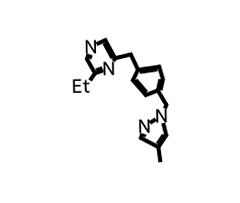 CCc1cncc(Cc2ccc(Cn3cc(C)cn3)cc2)n1